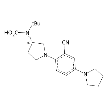 CC(C)(C)N(C(=O)O)[C@H]1CCN(c2ccc(N3CCCC3)cc2C#N)C1